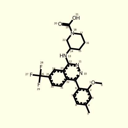 COc1cc(C)ccc1-c1nnc(NC2CCCN(C(=O)O)C2)c2cc(C(F)(F)F)ccc12